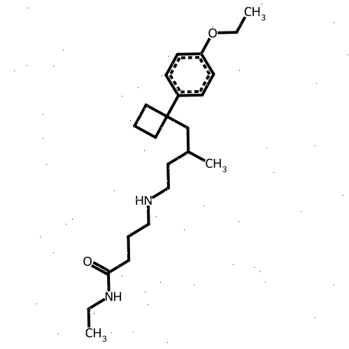 CCNC(=O)CCCNCCC(C)CC1(c2ccc(OCC)cc2)CCC1